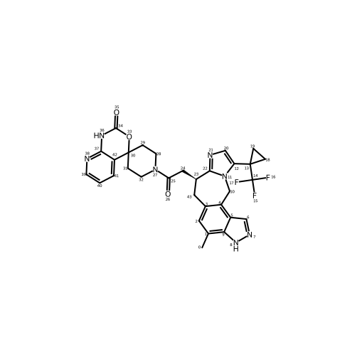 Cc1cc2c(c3cn[nH]c13)Cn1c(C3(C(F)(F)F)CC3)cnc1[C@H](CC(=O)N1CCC3(CC1)OC(=O)Nc1ncccc13)C2